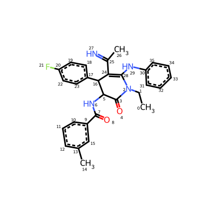 CCN1C(=O)C(NC(=O)c2cccc(C)c2)C(c2ccc(F)cc2)C(C(C)=N)=C1Nc1ccccc1